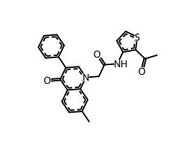 CC(=O)c1sccc1NC(=O)Cn1cc(-c2ccccc2)c(=O)c2ccc(C)cc21